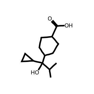 CC(C)C(O)(C1CCC(C(=O)O)CC1)C1CC1